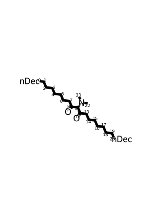 CCCCCCCCCCCCCCCCCC(=O)C(C(=O)CCCCCCCCCCCCCCCCC)N(C)C